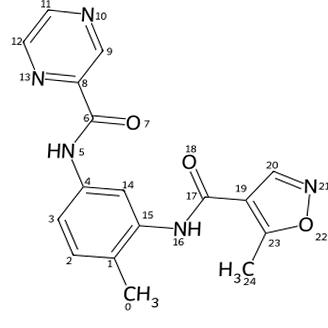 Cc1ccc(NC(=O)c2cnccn2)cc1NC(=O)c1cnoc1C